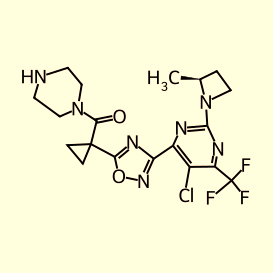 C[C@H]1CCN1c1nc(-c2noc(C3(C(=O)N4CCNCC4)CC3)n2)c(Cl)c(C(F)(F)F)n1